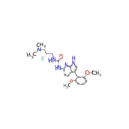 COc1cccc(OC)c1-c1c[nH]c2nc(NC(=O)NC[C@H](F)CN(C)C)ccc12